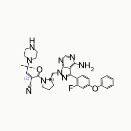 CC(C)(/C=C(/C#N)C(=O)N1CCC[C@@H]1Cn1nc(-c2ccc(Oc3ccccc3)cc2F)c2c(N)ncnc21)N1CCNCC1